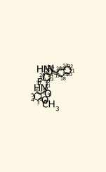 COc1ccccc1C(=O)NCc1cc2c(-c3ccc4ccccc4c3)n[nH]c2cc1F